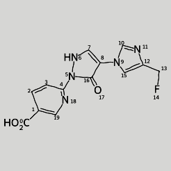 O=C(O)c1ccc(-n2[nH]cc(-n3cnc(CF)c3)c2=O)nc1